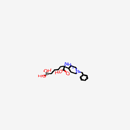 N[C@](CCCCB(O)O)(C(=O)O)C1CCN(Cc2ccccc2)CC1